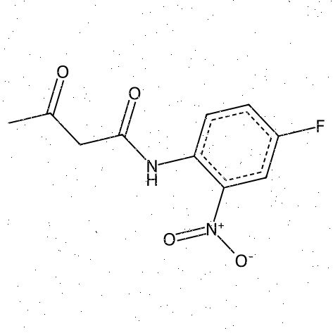 CC(=O)CC(=O)Nc1ccc(F)cc1[N+](=O)[O-]